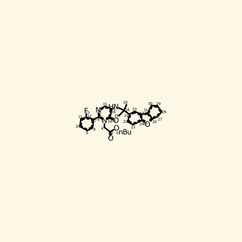 CCCCOC(=O)Cn1c(-c2ccccc2F)ncc(NC(C)(C)c2ccc3oc4ccccc4c3c2)c1=O